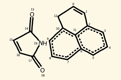 C1=Cc2cccc3cccc(c23)C1.O=C1C=CC(=O)N1